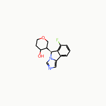 OC1CCOCC1[C@H]1c2c(F)cccc2-c2cncn21